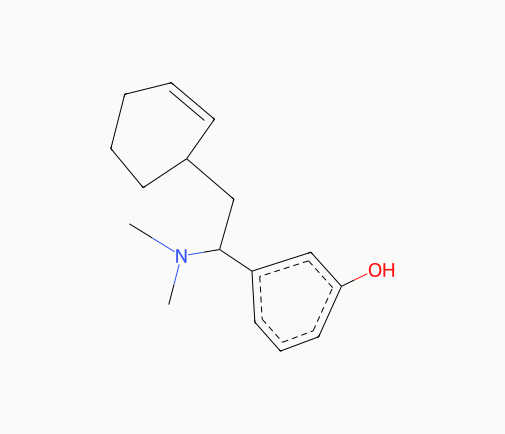 CN(C)C(CC1C=CCCC1)c1cccc(O)c1